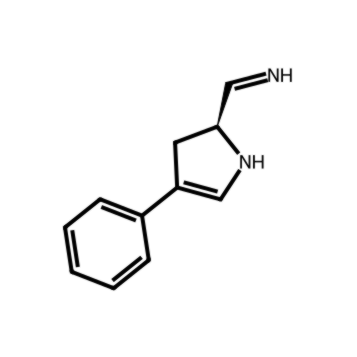 N=C[C@@H]1CC(c2ccccc2)=CN1